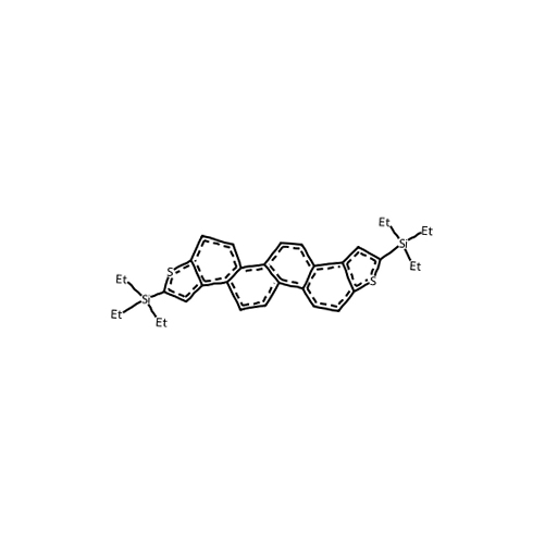 CC[Si](CC)(CC)c1cc2c(ccc3c2ccc2c4ccc5sc([Si](CC)(CC)CC)cc5c4ccc32)s1